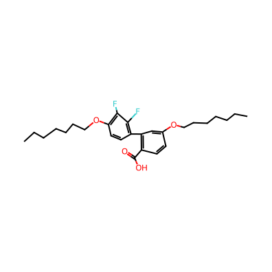 CCCCCCCOc1ccc(C(=O)O)c(-c2ccc(OCCCCCCC)c(F)c2F)c1